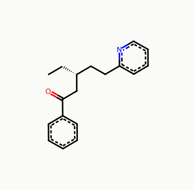 CC[C@H](CCc1ccccn1)CC(=O)c1ccccc1